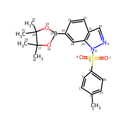 Cc1ccc(S(=O)(=O)n2ncc3ccc(B4OC(C)(C)C(C)(C)O4)cc32)cc1